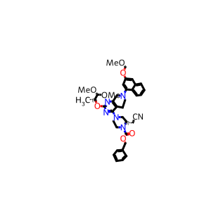 COCOc1cc(N2CCc3c(nc(O[C@H](C)C(OC)OC)nc3N3CCN(C(=O)OCc4ccccc4)[C@@H](CC#N)C3)C2)c2ccccc2c1